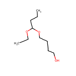 CCCC(OCC)OCCCCO